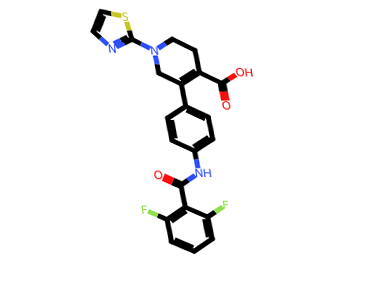 O=C(O)C1=C(c2ccc(NC(=O)c3c(F)cccc3F)cc2)CN(c2nccs2)CC1